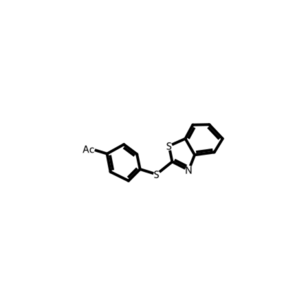 CC(=O)c1ccc(Sc2nc3ccccc3s2)cc1